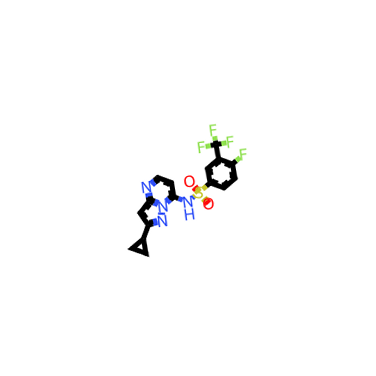 O=S(=O)(Nc1ccnc2cc(C3CC3)nn12)c1ccc(F)c(C(F)(F)F)c1